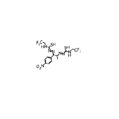 CC(=N\N=C(/S)NCC(F)(F)F)/C(=N/N=C(\S)NCC(F)(F)F)c1ccc([N+](=O)[O-])cc1